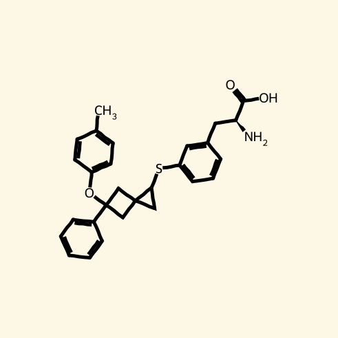 Cc1ccc(OC2(c3ccccc3)CC3(CC3Sc3cccc(C[C@H](N)C(=O)O)c3)C2)cc1